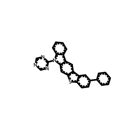 c1ccc(-c2ccc3sc4cc5c(cc4c3c2)c2ccccc2n5-c2ncncn2)cc1